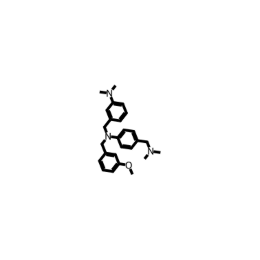 COc1cccc(CN(Cc2cccc(N(C)C)c2)c2ccc(CN(C)C)cc2)c1